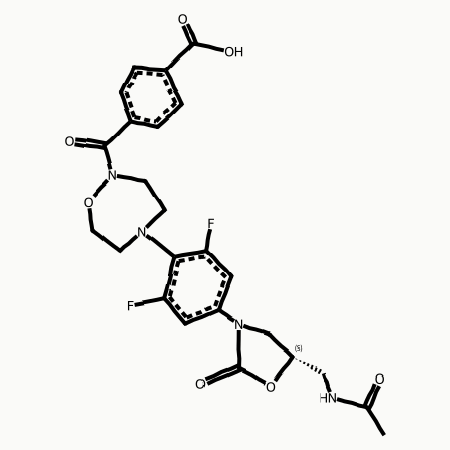 CC(=O)NC[C@H]1CN(c2cc(F)c(N3CCON(C(=O)c4ccc(C(=O)O)cc4)CC3)c(F)c2)C(=O)O1